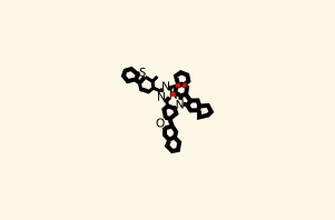 CC1c2sc3ccccc3c2C=CC1c1nc(-c2ccccc2)nc(-c2cc3oc4cc5ccccc5cc4c3cc2-n2c3ccccc3c3cc4ccccc4cc32)n1